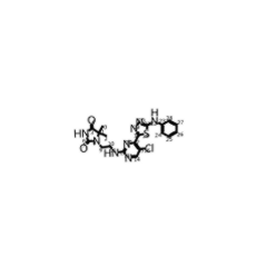 CC1(C)C(=O)NC(=O)N1CCNc1ncc(Cl)c(-c2nnc(Nc3ccccc3)s2)n1